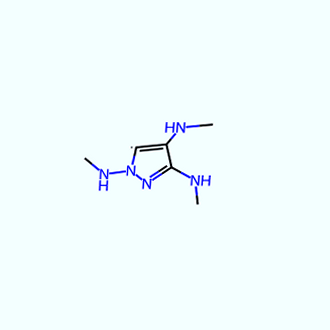 CNc1[c]n(NC)nc1NC